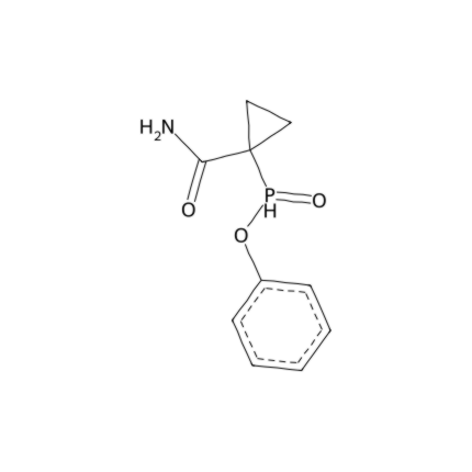 NC(=O)C1([PH](=O)Oc2ccccc2)CC1